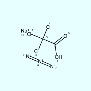 O=C(O)C(Cl)(Cl)Cl.[N-]=[N+]=[N-].[Na+]